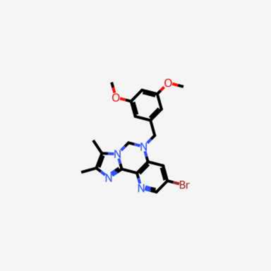 COc1cc(CN2Cn3c(nc(C)c3C)-c3ncc(Br)cc32)cc(OC)c1